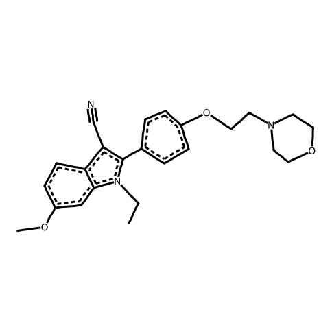 CCn1c(-c2ccc(OCCN3CCOCC3)cc2)c(C#N)c2ccc(OC)cc21